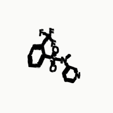 CN(c1cccnc1)S(=O)(=O)c1ccccc1C(F)(F)F